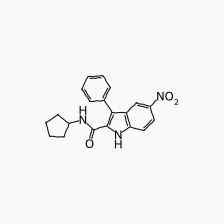 O=C(NC1CCCC1)c1[nH]c2ccc([N+](=O)[O-])cc2c1-c1ccccc1